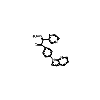 O=C(/C(=N\O)c1cnccn1)c1ccc(-n2ccc3cccnc32)cc1